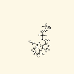 CCC(C)(C)OOC(C)(C)CC(C)c1ccccc1CN(C(=O)O)C1CC(C)(C)NC(C)(C)C1